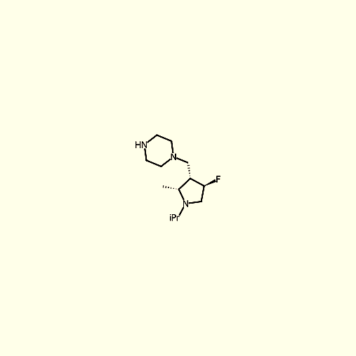 CC(C)N1C[C@H](F)[C@@H](CN2CCNCC2)[C@H]1C